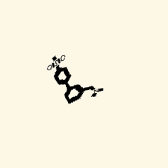 CN(C)Cc1cccc(-c2ccc(S(C)(=O)=O)cc2)c1